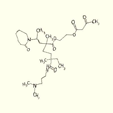 CCC(C)(CCC(C)(CC(C)N1CCCCCC1=O)C(=O)OCCOC(=O)CC(C)=O)C(=O)NCCCN(C)C